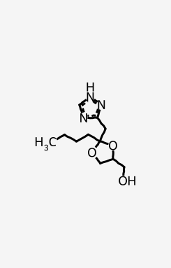 CCCCC1(Cc2nc[nH]n2)OCC(CO)O1